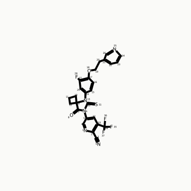 N#Cc1ncc(N2C(=O)C3(CCC3)N(c3ccc(OCCc4cccnc4)c(F)c3)C2=S)cc1C(F)(F)F